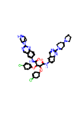 O=C(Nc1ccc2nc(N3CCC(N4CCCC4)CC3)ncc2c1)C(Oc1ccc(Cl)cc1)C(Oc1ccc(Cl)cc1)C(=O)Nc1ccc2nc(N3CC4CC3CN4)ncc2c1